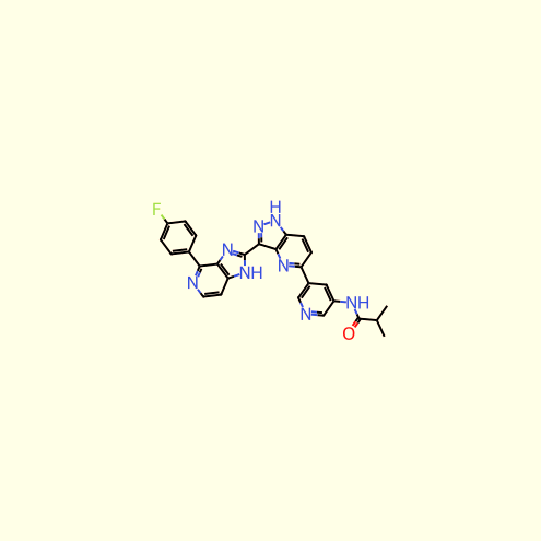 CC(C)C(=O)Nc1cncc(-c2ccc3[nH]nc(-c4nc5c(-c6ccc(F)cc6)nccc5[nH]4)c3n2)c1